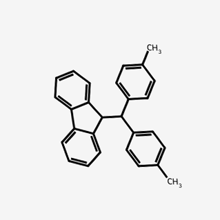 Cc1ccc(C(c2ccc(C)cc2)C2c3ccccc3-c3ccccc32)cc1